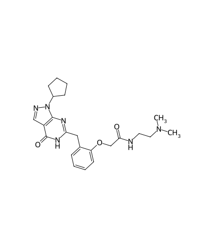 CN(C)CCNC(=O)COc1ccccc1Cc1nc2c(cnn2C2CCCC2)c(=O)[nH]1